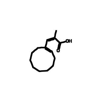 CC(=C/C1=C/CCCCCCCC1)C(=O)O